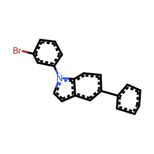 Brc1cccc(-n2ccc3cc(-c4ccccc4)ccc32)c1